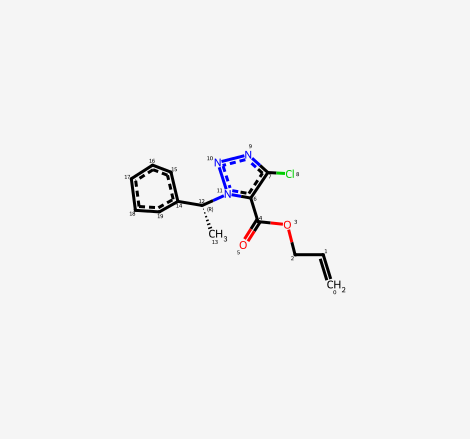 C=CCOC(=O)c1c(Cl)nnn1[C@H](C)c1ccccc1